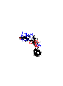 C[C@H](NP(=O)(OC[C@H]1O[C@@H](n2cnc3c(=O)[nH]c(N)nc32)C[C@H]1O)Oc1cccc2ccccc12)C(=O)OCC(C)(C)C